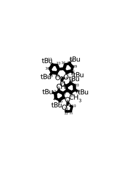 Cc1c(C(C)(C)C)cc(C(C)(C)C)c(OP2CCCO2)c1-c1c(C)c(C(C)(C)C)cc(C(C)(C)C)c1Op1oc2c(C(C)(C)C)cc(C(C)(C)C)cc2c2cc(C(C)(C)C)cc(C(C)(C)C)c2o1